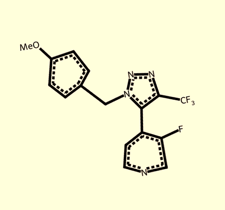 COc1ccc(Cn2nnc(C(F)(F)F)c2-c2ccncc2F)cc1